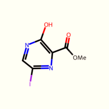 COC(=O)c1nc(I)cnc1O